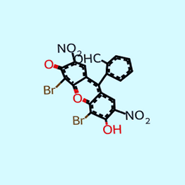 O=Cc1ccccc1-c1c2cc([N+](=O)[O-])c(=O)c(Br)c-2oc2c(Br)c(O)c([N+](=O)[O-])cc12